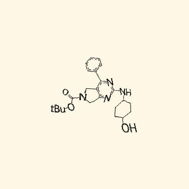 CC(C)(C)OC(=O)N1Cc2nc(NC3CCC(O)CC3)nc(-c3ccccc3)c2C1